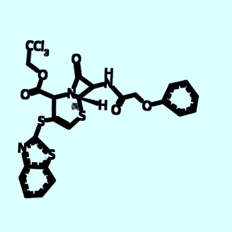 O=C(COc1ccccc1)NC1C(=O)N2C(C(=O)OCC(Cl)(Cl)Cl)C(Sc3nc4ccccc4s3)=CS[C@@H]12